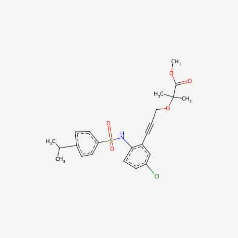 COC(=O)C(C)(C)OCC#Cc1cc(Cl)ccc1NS(=O)(=O)c1ccc(C(C)C)cc1